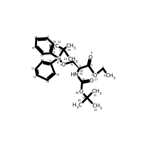 CCOC(=O)[C@H](CO[Si](c1ccccc1)(c1ccccc1)C(C)(C)C)NC(=O)OC(C)(C)C